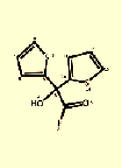 O=C(F)C(O)(c1cccs1)c1cccs1